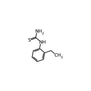 CCc1ccccc1NC(N)=S